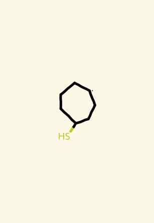 SC1CC[CH]CCC1